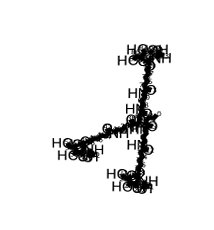 CCCC(C(=O)NCCCNC(=O)CCCCCOC1OC(CO)C(O)C(O)C1NC(C)=O)N(CC(=O)NCCCNC(=O)CCCCCOC1OC(CO)C(O)C(O)C1NC(C)=O)CC(=O)NCCCNC(=O)CCCCCOC(OC(CO)[C@@H](C)O)[C@H](CO)NC(C)=O